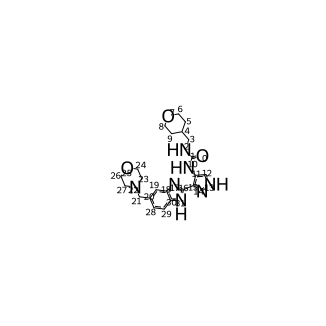 O=C(NCC1CCOCC1)Nc1c[nH]nc1-c1nc2cc(CN3CCOCC3)ccc2[nH]1